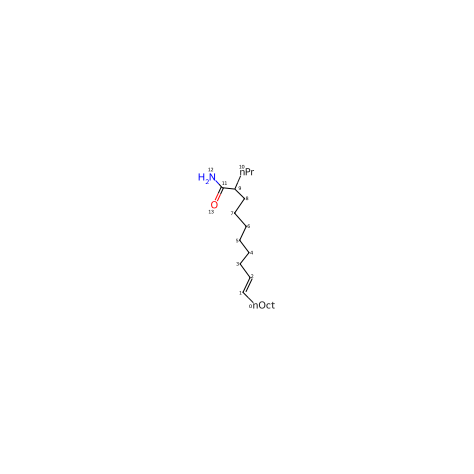 CCCCCCCCC=CCCCCCCC(CCC)C(N)=O